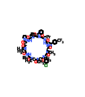 CC[C@H](C)[C@@H]1NC(=O)[C@H](C)N(C)C(=O)C[C@@H](C(=O)N2CCCC2)NC(=O)[C@H](CC(C)C)N(C)C(=O)[C@H](Cc2ccccc2)NC(=O)[C@H](CC(C)C)NC(=O)[C@H](CCc2ccc(C(F)(F)F)cc2)NC(=O)CN(C)C(=O)[C@H](Cc2ccc(Cl)cc2)N(C)C(=O)CN(C)C(=O)CN(C)C1=O